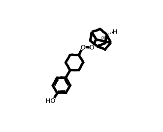 Oc1ccc(C2CCC(OOC3C4CC5CC3[C@@H](C5)C4)CC2)cc1